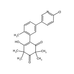 Cc1ccc(-c2ccc(Cl)nc2)cc1C1=C(O)C(C)(C)C(=O)C(C)(C)C1=O